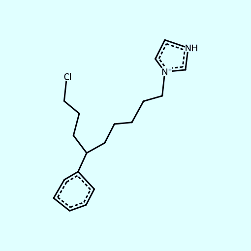 ClCCCC(CCCCC[n+]1cc[nH]c1)c1ccccc1